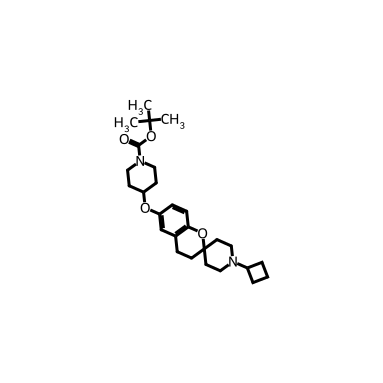 CC(C)(C)OC(=O)N1CCC(Oc2ccc3c(c2)CCC2(CCN(C4CCC4)CC2)O3)CC1